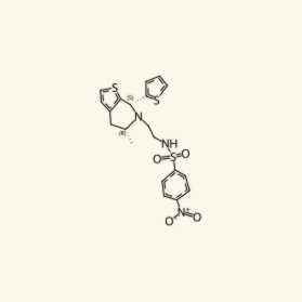 C[C@@H]1Cc2ccsc2[C@H](c2cccs2)N1CCNS(=O)(=O)c1ccc([N+](=O)[O-])cc1